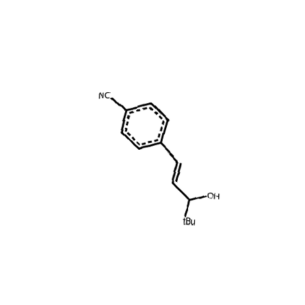 CC(C)(C)C(O)C=Cc1ccc(C#N)cc1